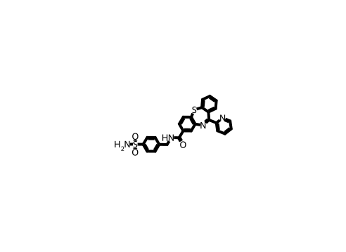 NS(=O)(=O)c1ccc(CNC(=O)c2ccc3c(c2)N=C(c2ccccn2)c2ccccc2S3)cc1